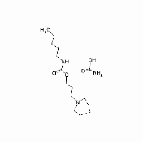 CCCCCNC(=O)OCCCN1CCCCC1.NC(=O)O